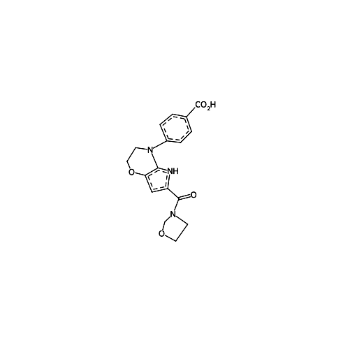 O=C(O)c1ccc(N2CCOc3cc(C(=O)N4CCOC4)[nH]c32)cc1